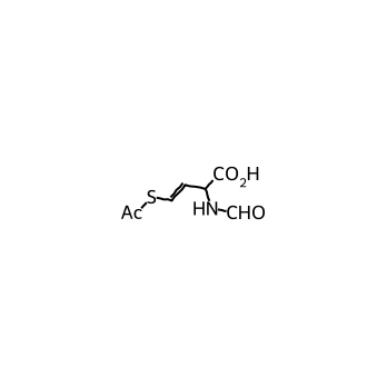 CC(=O)SC=CC(NC=O)C(=O)O